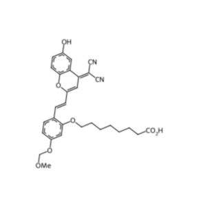 COCOc1ccc(C=CC2=CC(=C(C#N)C#N)c3cc(O)ccc3O2)c(OCCCCCCCC(=O)O)c1